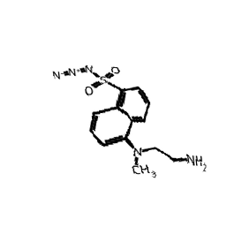 CN(CCN)c1cccc2c(S(=O)(=O)N=[N+]=[N-])cccc12